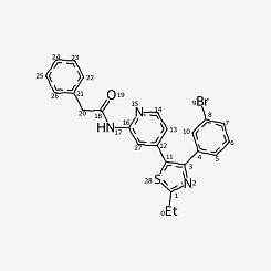 CCc1nc(-c2cccc(Br)c2)c(-c2ccnc(NC(=O)Cc3ccccc3)c2)s1